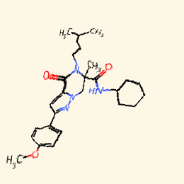 COc1ccc(-c2cc3n(n2)CC(C)(C(=O)NC2CCCCC2)N(CCC(C)C)C3=O)cc1